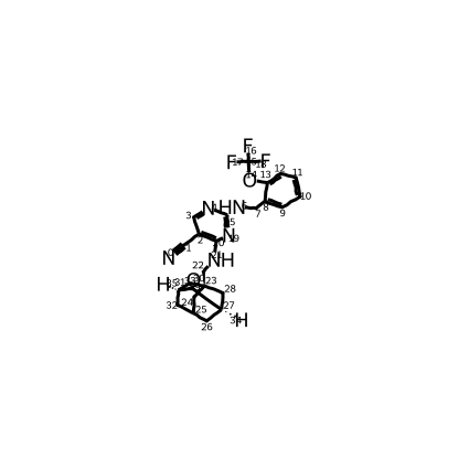 N#Cc1cnc(NCc2ccccc2OC(F)(F)F)nc1NC[C@]12CC3C[C@H](C1)C(=O)[C@@H](C3)C2